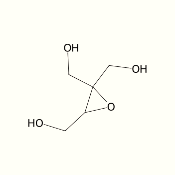 OCC1OC1(CO)CO